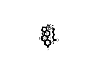 CC(=O)[C@H]1CC[C@H]2[C@@H]3CCC4=CC(=O)CC[C@]4(C)[C@H]3CC[C@]12C.CCCCCC(=O)O